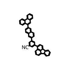 N#Cc1cc(-c2ccc3cc(-c4cc5ccccc5c5ccccc45)ccc3c2)cc(-c2ccc3c4c(cccc24)-c2ccccc2-3)c1